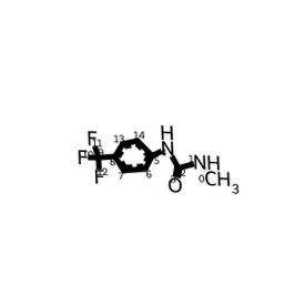 CNC(=O)Nc1ccc(C(F)(F)F)cc1